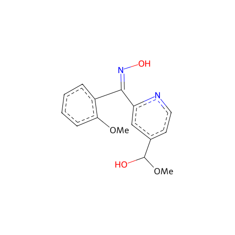 COc1ccccc1/C(=N/O)c1cc(C(O)OC)ccn1